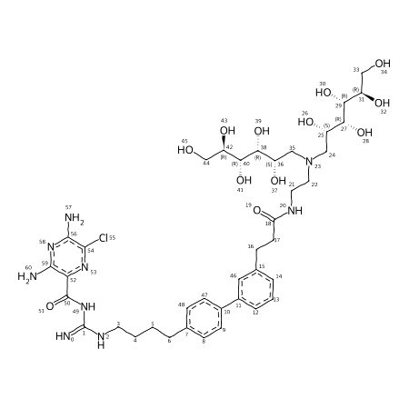 N=C(NCCCCc1ccc(-c2cccc(CCC(=O)NCCN(C[C@H](O)[C@@H](O)[C@H](O)[C@H](O)CO)C[C@H](O)[C@@H](O)[C@H](O)[C@H](O)CO)c2)cc1)NC(=O)c1nc(Cl)c(N)nc1N